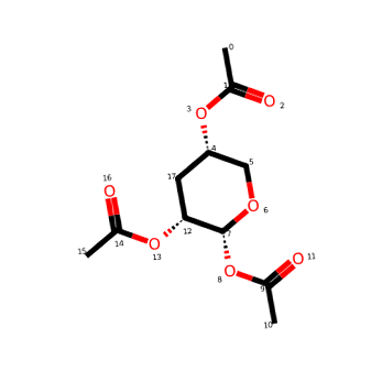 CC(=O)O[C@@H]1CO[C@H](OC(C)=O)[C@H](OC(C)=O)C1